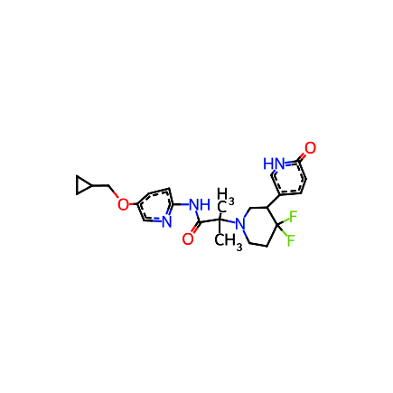 CC(C)(C(=O)Nc1ccc(OCC2CC2)cn1)N1CCC(F)(F)C(c2ccc(=O)[nH]c2)C1